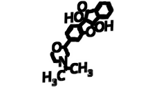 CC(C)N1CCOC(c2ccc3c(c2)OC2(O)c4ccccc4C(=O)C32O)C1